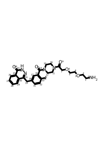 NCCOCCOCC(=O)N1CCN(C(=O)c2cc(Cc3n[nH]c(=O)c4ccccc34)ccc2F)CC1